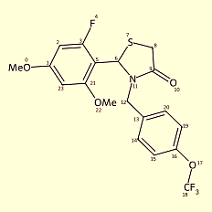 COc1cc(F)c(C2SCC(=O)N2Cc2ccc(OC(F)(F)F)cc2)c(OC)c1